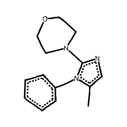 Cc1cnc(N2CCOCC2)n1-c1ccccc1